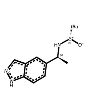 C[C@H](N[S@@+]([O-])C(C)(C)C)c1ccc2[nH]ncc2c1